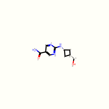 NC(=O)c1cnc(N[C@H]2C[C@@H](CO)C2)nc1